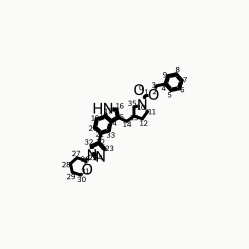 O=C(OCc1ccccc1)N1CCC(Cc2c[nH]c3ccc(-c4cnn(C5CCCCO5)c4)cc23)C1